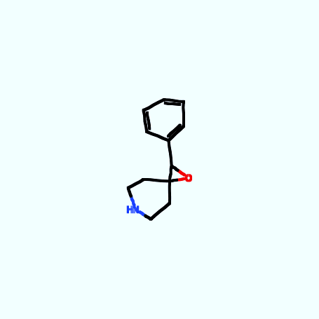 c1ccc(C2OC23CCNCC3)cc1